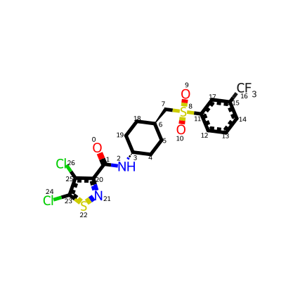 O=C(N[C@H]1CC[C@H](CS(=O)(=O)c2cccc(C(F)(F)F)c2)CC1)c1nsc(Cl)c1Cl